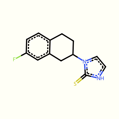 Fc1ccc2c(c1)CC(n1cc[nH]c1=S)CC2